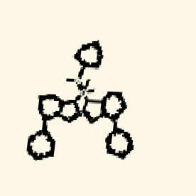 C[Si](c1ccccc1)=[Hf]([CH3])([CH3])([CH]1C=Cc2c(-c3ccccc3)cccc21)[CH]1C=Cc2c(-c3ccccc3)cccc21